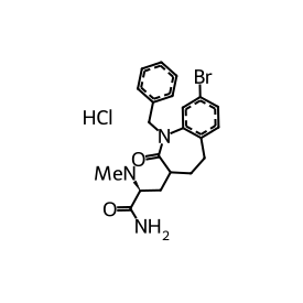 CN[C@@H](CC1CCc2ccc(Br)cc2N(Cc2ccccc2)C1=O)C(N)=O.Cl